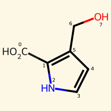 O=C(O)c1[nH]ccc1CO